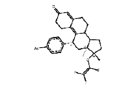 CC(=O)c1ccc([C@H]2C[C@@]3(C)C(CC[C@]3(C)OC(F)=C(F)F)C3CCC4=CC(=O)CCC4=C32)cc1